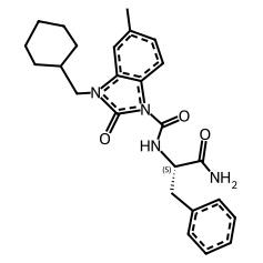 Cc1ccc2c(c1)n(CC1CCCCC1)c(=O)n2C(=O)N[C@@H](Cc1ccccc1)C(N)=O